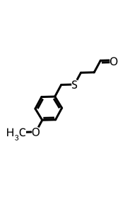 COc1ccc(CSCCC=O)cc1